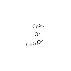 [Co+2].[Co+2].[O-2].[O-2]